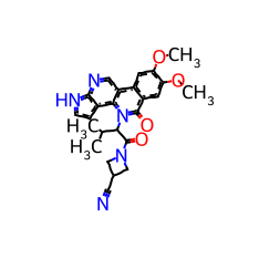 COc1cc2c(=O)n(C(C(=O)N3CC(C#N)C3)C(C)C)c3c4cc[nH]c4ncc3c2cc1OC